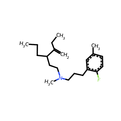 C=C(CC)C(CCC)CCN(C)CCCc1cc(C)ccc1F